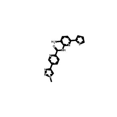 Cn1cc(-c2ccc(C(=O)Nc3nc(-c4cccs4)ccc3N)nc2)nn1